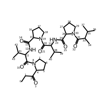 CCC(=O)C1CCCN1C(=O)C(NC(=O)C1CCCN1C(=O)C(NC(=O)C1CCCN1C(=O)C(C)C(C)C)C(C)C)C(C)C